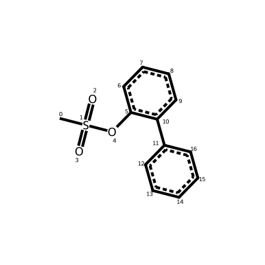 CS(=O)(=O)Oc1ccccc1-c1ccccc1